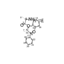 C[C@H](N)C(=O)O[C@@H](C)[C@H](Oc1cccc(F)c1)c1ccccc1